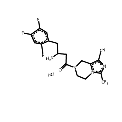 Cl.N#Cc1nc(C(F)(F)F)n2c1CN(C(=O)CC(N)Cc1cc(F)c(F)cc1F)CC2